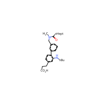 CCCCCCCC(=O)N(C)Cc1cccc(-c2ccc(CCC(=O)O)cc2NCCCC)c1